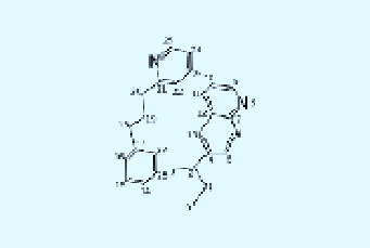 CCC(C)c1ccc2ncccc2c1.c1ccc(CCCc2ccccn2)cc1